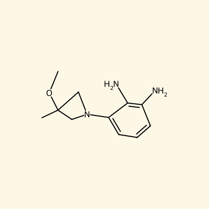 COC1(C)CN(c2cccc(N)c2N)C1